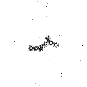 c1ccc(-c2ccc(N(c3ccccc3)c3ccc(-c4ccc5c(ccn5-c5ccc(-c6ccccc6)cc5)c4)cc3)cc2)cc1